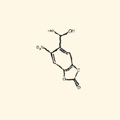 O=c1oc2cc(C(O)O)c([N+](=O)[O-])cc2o1